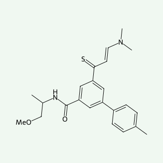 COCC(C)NC(=O)c1cc(C(=S)C=CN(C)C)cc(-c2ccc(C)cc2)c1